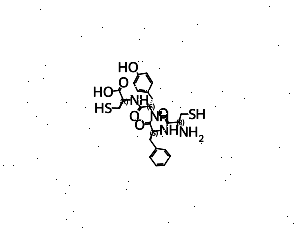 N[C@@H](CS)C(=O)N[C@@H](Cc1ccccc1)C(=O)N[C@@H](Cc1ccc(O)cc1)C(=O)N[C@@H](CS)C(=O)O